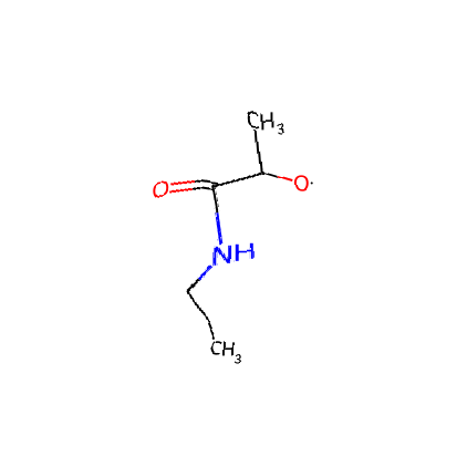 CCNC(=O)C(C)[O]